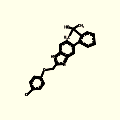 CC(C)(O)c1ccccc1-c1ccc2[nH]c(COc3ccc(Cl)cc3)nc2c1